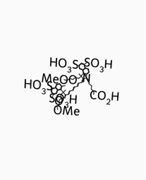 C=C(/C=C/C=C/C=C/C=C1/N(CCCCCC(=O)O)c2ccc3c(S(=O)(=O)O)cc(S(=O)(=O)O)cc3c2C1(C)CCOCCOC)C(C)(CCOCCOC)c1c(C)ccc2c(S(=O)(=O)O)cc(S(=O)(=O)O)cc12